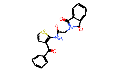 O=C(CN1C(=O)c2ccccc2C1=O)Nc1sccc1C(=O)c1ccccc1